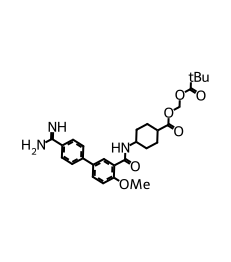 COc1ccc(-c2ccc(C(=N)N)cc2)cc1C(=O)NC1CCC(C(=O)OCOC(=O)C(C)(C)C)CC1